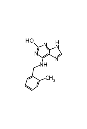 Cc1ccccc1CNc1nc(O)nc2[nH]cnc12